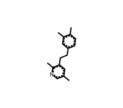 Cc1cnc(C)c(CCc2ccc(C)c(C)c2)c1